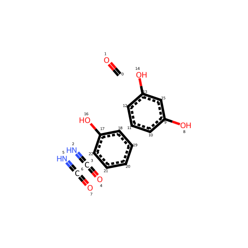 C=O.N=C=O.N=C=O.Oc1cccc(O)c1.Oc1ccccc1